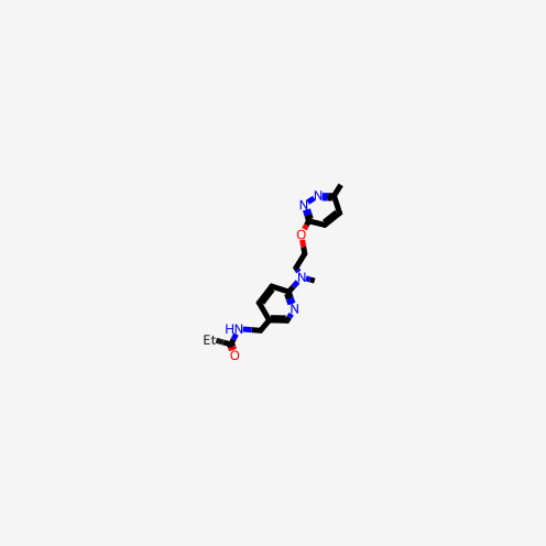 CCC(=O)NCc1ccc(N(C)CCOc2ccc(C)nn2)nc1